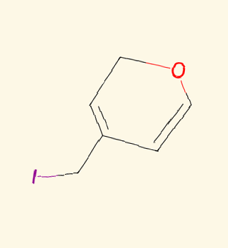 ICC1=CCOC=C1